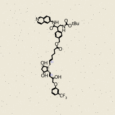 CC(C)(C)OC(=O)NCC(C(=O)Nc1ccc2cnccc2c1)c1ccc(COC(=O)CCC/C=C/C[C@@H]2[C@@H](/C=C/[C@@H](O)COc3cccc(C(F)(F)F)c3)[C@H](O)C[C@@H]2O)cc1